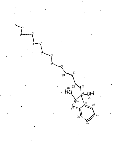 CCCCCCCCCCCCCCC(O)(C(=O)O)c1ccccc1